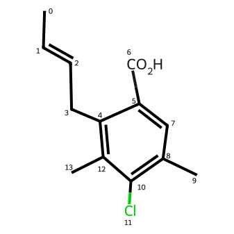 CC=CCc1c(C(=O)O)cc(C)c(Cl)c1C